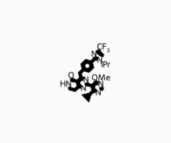 COc1ncnc(C2CC2)c1-c1nc2c(c(Cc3ccc(-c4nc(C(F)(F)F)cn4C(C)C)cc3)n1)C(=O)NCC2